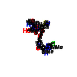 CNc1nc(Nc2ccc(C(=O)N3CCC(CCOCCOc4cc(-c5scnc5C)ccc4CNC(=O)[C@@H]4C[C@@H](O)CN4C(=O)[C@@H](NC(=O)C4(F)CC4)C(C)(C)C)CC3)cc2OC)ncc1Cl